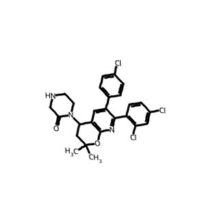 CC1(C)CC(N2CCNCC2=O)c2cc(-c3ccc(Cl)cc3)c(-c3ccc(Cl)cc3Cl)nc2O1